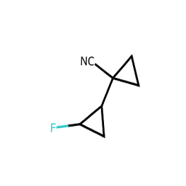 N#CC1(C2CC2F)CC1